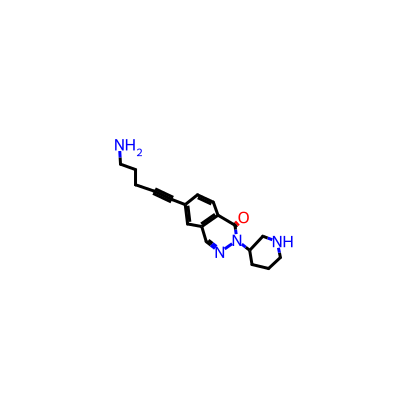 NCCCC#Cc1ccc2c(=O)n(C3CCCNC3)ncc2c1